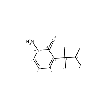 CC(C)C(C)(C)c1nncn(N)c1=O